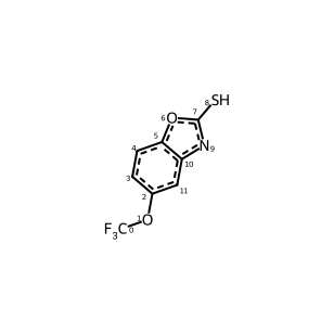 FC(F)(F)Oc1ccc2oc(S)nc2c1